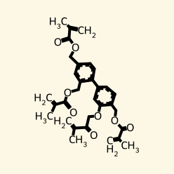 C=C(C)C(=O)COc1cc(-c2ccc(COC(=O)C(=C)C)cc2COC(=O)C(=C)C)ccc1COC(=O)C(=C)C